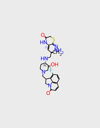 C=C(/C=C1/NC(=O)CS/C1=N/N)CN[C@H]1CCN(CC2Cn3c(=O)ccc4ccc(F)c2c43)C[C@H]1O